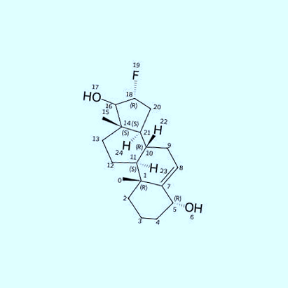 C[C@]12CCC[C@@H](O)C1=CC[C@@H]1[C@@H]2CC[C@]2(C)C(O)[C@H](F)C[C@@H]12